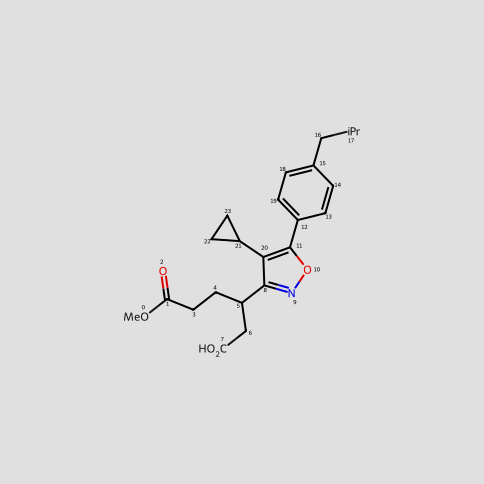 COC(=O)CCC(CC(=O)O)c1noc(-c2ccc(CC(C)C)cc2)c1C1CC1